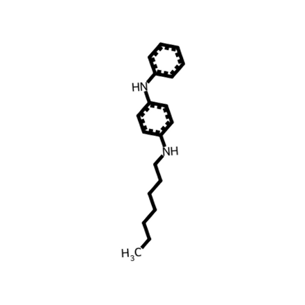 CCCCCCCNc1ccc(Nc2ccccc2)cc1